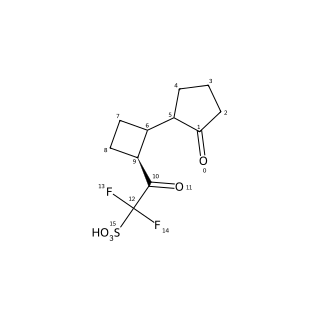 O=C1CCCC1C1CC[C@@H]1C(=O)C(F)(F)S(=O)(=O)O